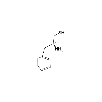 N[C@H](CS)Cc1ccccc1